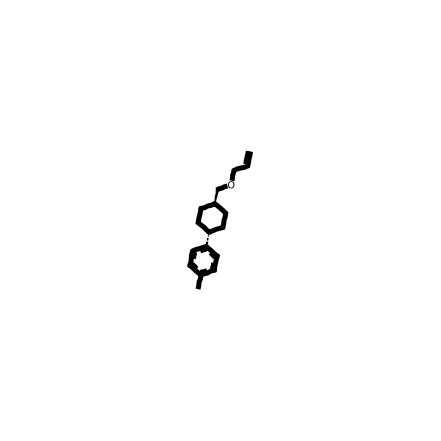 C=CCOC[C@H]1CC[C@H](c2ccc(C)cc2)CC1